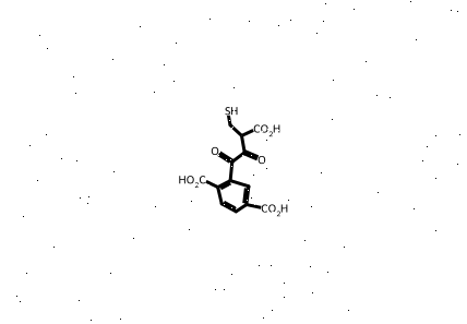 O=C(O)c1ccc(C(=O)O)c(C(=O)C(=O)C(CS)C(=O)O)c1